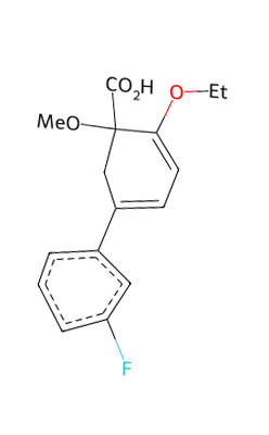 CCOC1=CC=C(c2cccc(F)c2)CC1(OC)C(=O)O